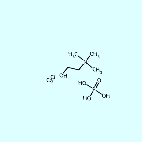 C[N+](C)(C)CCO.O=P(O)(O)O.[Ca].[Cl-]